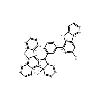 CC12C=CC=CC1N(c1cccc(-c3nc(Cl)nc4c3sc3ccccc34)c1)c1c2c2ccccc2c2sc3ccccc3c12